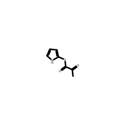 CC(=O)C(=O)Oc1ccc[nH]1